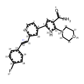 NC(=O)c1cc(-c2ccnc(/C=C/c3ccc(F)cc3)c2)[nH]c1N1CCOCC1